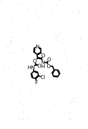 O=C(Nc1oc2cnccc2c1OC(=O)Nc1ccc(F)c(Cl)c1)OCc1ccccc1